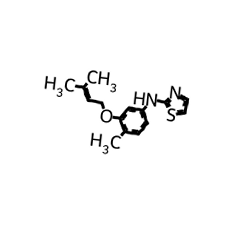 CC(C)=CCOc1cc(Nc2nccs2)ccc1C